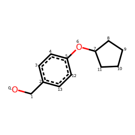 [O]Cc1ccc(OC2CCCC2)cc1